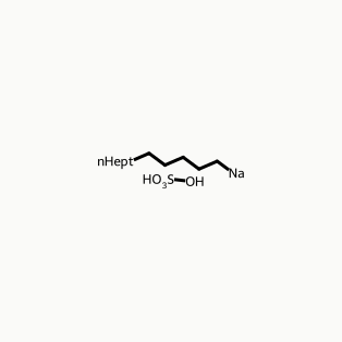 CCCCCCCCCCC[CH2][Na].O=S(=O)(O)O